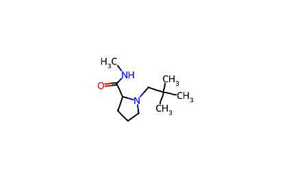 CNC(=O)C1CCCN1CC(C)(C)C